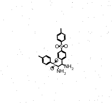 Cc1ccc(S(=O)(=O)c2ccc(C(N)[C@@H](N)S(=O)(=O)c3ccc(C)cc3)cc2)cc1